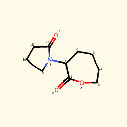 O=C1OCCCCC1N1CCCC1=O